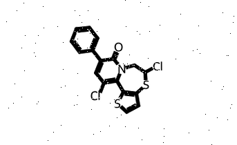 O=c1c(-c2ccccc2)cc(Cl)c2n1CC(Cl)Sc1ccsc1-2